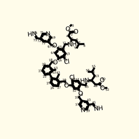 COC(=O)CC(CC(C)C)NCc1cc(Cl)c(OCc2cccc(-c3cccc(COc4cc(OCc5cncc(C=N)c5)c(CNC(CC(=O)OC)CC(C)C)cc4Cl)c3C)c2C)cc1OCc1cncc(C=N)c1